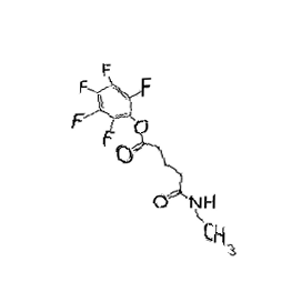 CCNC(=O)CCCC(=O)Oc1c(F)c(F)c(F)c(F)c1F